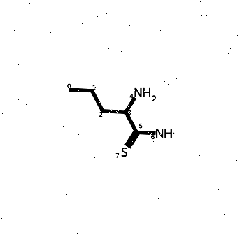 CCCC(N)C([NH])=S